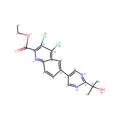 CCOC(=O)c1nc2ccc(-c3cnc(C(C)(C)O)nc3)cc2c(Cl)c1Cl